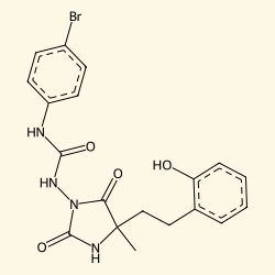 CC1(CCc2ccccc2O)NC(=O)N(NC(=O)Nc2ccc(Br)cc2)C1=O